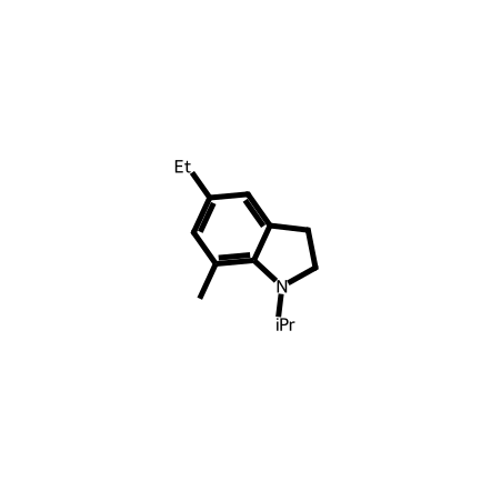 CCc1cc(C)c2c(c1)CCN2C(C)C